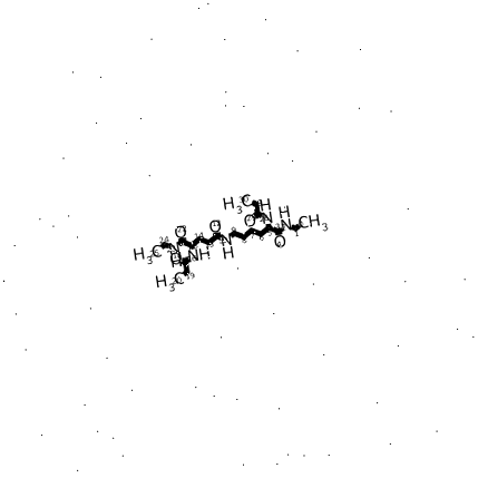 CCNC(=O)C(CCCCNC(=O)CCC(NC(=O)CC)C(=O)NCC)NC(=O)CC